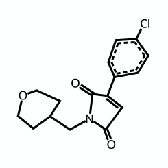 O=C1C=C(c2ccc(Cl)cc2)C(=O)N1CC1CCOCC1